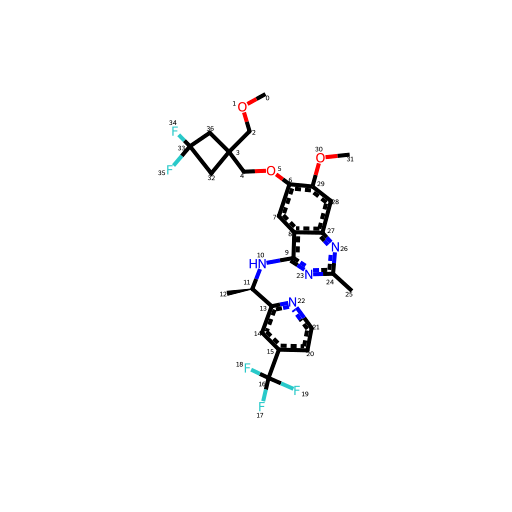 COCC1(COc2cc3c(N[C@H](C)c4cc(C(F)(F)F)ccn4)nc(C)nc3cc2OC)CC(F)(F)C1